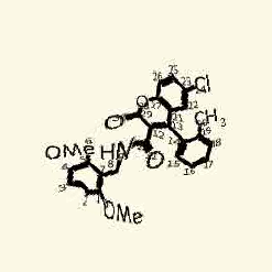 COc1cccc(OC)c1CNC(=O)c1c(-c2ccccc2C)c2cc(Cl)ccc2oc1=O